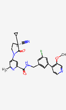 COc1cnccc1-c1cc(F)cc(CNC(=O)c2cc(N3CC[C@@](C#N)(C4CC4)C3=O)cc(C)n2)c1